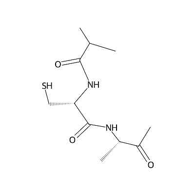 CC(=O)[C@H](C)NC(=O)[C@H](CS)NC(=O)C(C)C